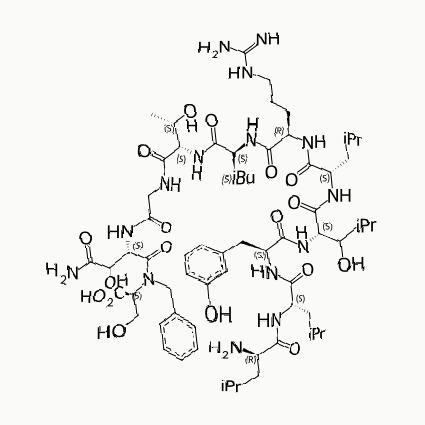 CC[C@H](C)[C@H](NC(=O)[C@@H](CCCNC(=N)N)NC(=O)[C@H](CC(C)C)NC(=O)[C@@H](NC(=O)[C@H](Cc1cccc(O)c1)NC(=O)[C@H](CC(C)C)NC(=O)[C@H](N)CC(C)C)C(O)C(C)C)C(=O)N[C@H](C(=O)NCC(=O)N[C@H](C(=O)N(Cc1ccccc1)[C@@H](CO)C(=O)O)C(O)C(N)=O)[C@H](C)O